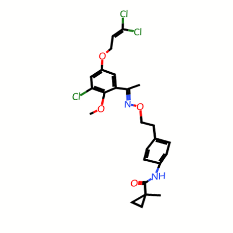 COc1c(Cl)cc(OCC=C(Cl)Cl)cc1/C(C)=N/OCCc1ccc(NC(=O)C2(C)CC2)cc1